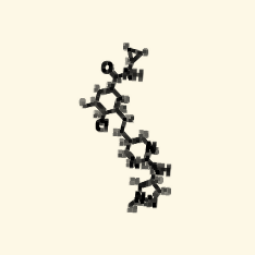 Cc1cc(C(=O)NC2CC2)cc(CCc2cnc(Nc3cnn(C)c3)nc2)c1Cl